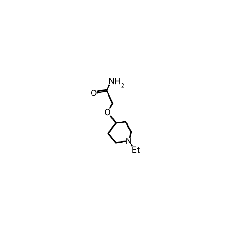 CCN1CCC(OCC(N)=O)CC1